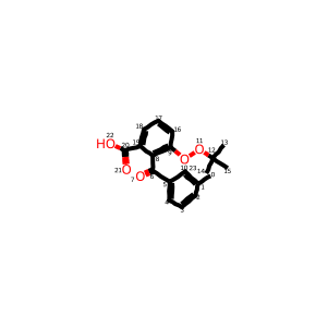 Cc1cccc(C(=O)c2c(OOC(C)(C)C)cccc2C(=O)O)c1